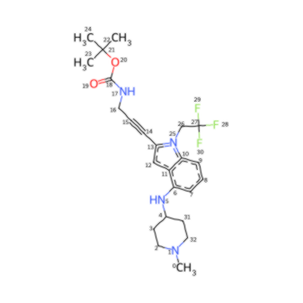 CN1CCC(Nc2cccc3c2cc(C#CCNC(=O)OC(C)(C)C)n3CC(F)(F)F)CC1